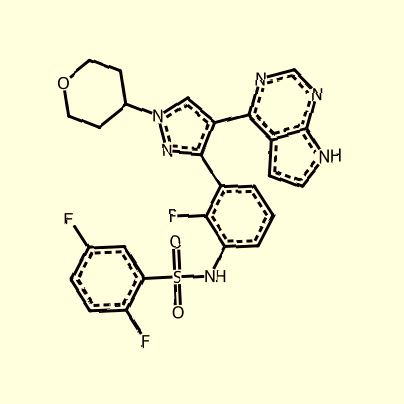 O=S(=O)(Nc1cccc(-c2nn(C3CCOCC3)cc2-c2ncnc3[nH]ccc23)c1F)c1cc(F)ccc1F